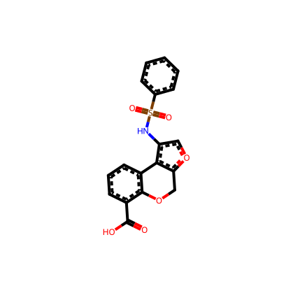 O=C(O)c1cccc2c1OCc1occ(NS(=O)(=O)c3ccccc3)c1-2